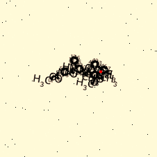 CCOC(=O)CN1CCN(C(=O)NC2(c3ccccc3)CCN(N(C)C(=O)c3cc(OC)c(OC)c(OC)c3-c3ccccc3-c3ccc(F)cc3)CC2)CC1